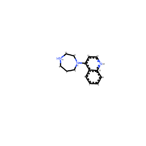 c1ccc2c(N3CCCNCC3)ccnc2c1